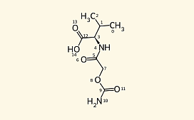 CC(C)[C@@H](NC(=O)COC(N)=O)C(=O)O